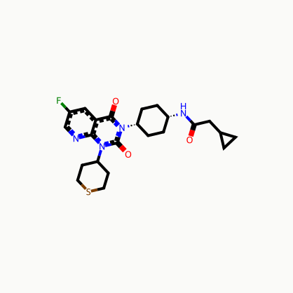 O=C(CC1CC1)N[C@H]1CC[C@@H](n2c(=O)c3cc(F)cnc3n(C3CCSCC3)c2=O)CC1